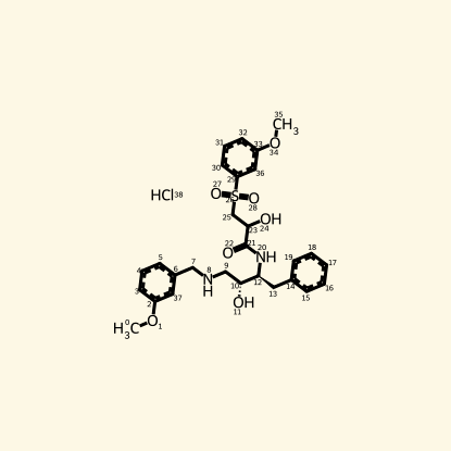 COc1cccc(CNC[C@@H](O)[C@H](Cc2ccccc2)NC(=O)C(O)CS(=O)(=O)c2cccc(OC)c2)c1.Cl